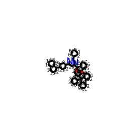 c1ccc(-c2nc(-c3ccc(-c4cccc5ccccc45)cc3)cc(-c3ccc(-c4cccc5c4C(c4ccccc4)(c4ccccc4)c4ccccc4-5)c4ccccc34)n2)cc1